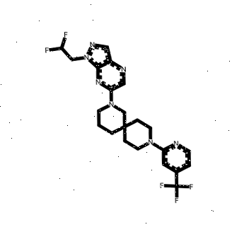 FC(F)Cn1ncc2ncc(N3CCCC4(CCN(c5cc(C(F)(F)F)ccn5)CC4)C3)nc21